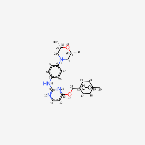 C[C@@H]1CN(c2ccc(Nc3nccc(OCC45CCC(C)(CC4)CC5)n3)cc2)C[C@H](C)O1